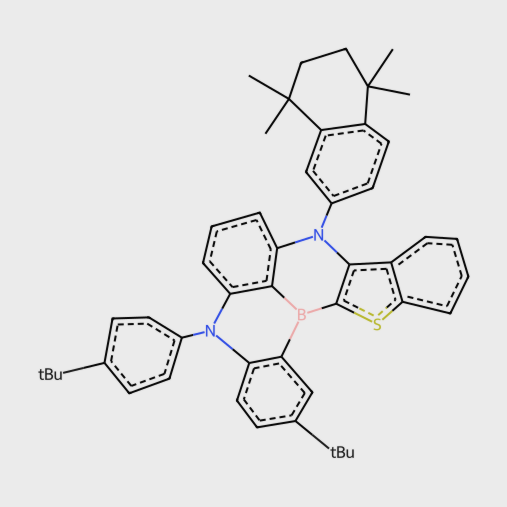 CC(C)(C)c1ccc(N2c3ccc(C(C)(C)C)cc3B3c4sc5ccccc5c4N(c4ccc5c(c4)C(C)(C)CCC5(C)C)c4cccc2c43)cc1